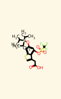 CC(C)[Si](Oc1cc(OS(=O)(=O)C(F)(F)F)c2c(CC(=O)O)csc2c1)(C(C)C)C(C)C